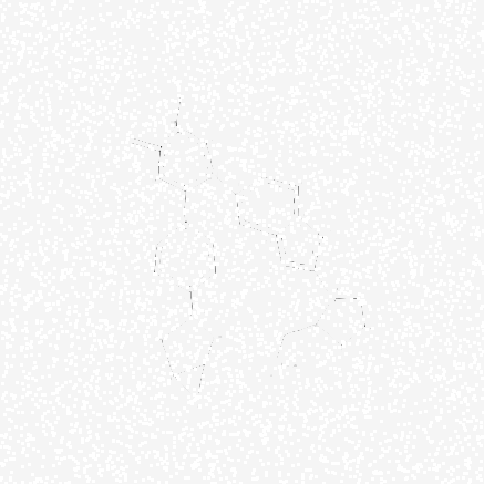 COCC1CCCN1c1nc2ccc(-n3cc(C(=O)O)c(=O)cc3-c3ccc(N4CC5CC5C4)cc3)cc2o1